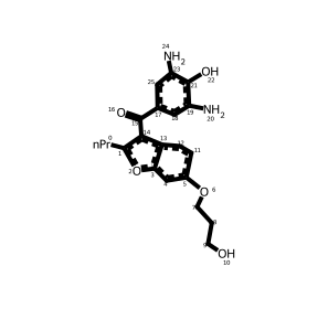 CCCc1oc2cc(OCCCO)ccc2c1C(=O)c1cc(N)c(O)c(N)c1